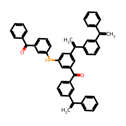 C=C(c1ccccc1)c1cccc(C(=C)c2cc(Pc3cccc(C(=O)c4ccccc4)c3)cc(C(=O)c3cccc(C(=C)c4ccccc4)c3)c2)c1